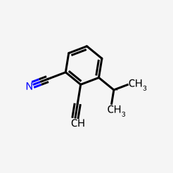 C#Cc1c(C#N)cccc1[C](C)C